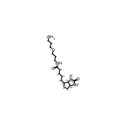 NCCCOCCCNC(=O)CCCCC1SCC2NC(=O)NC21